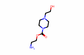 NCCOC(=O)N1CCN(CCO)CC1